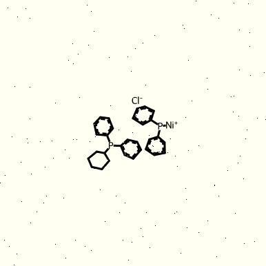 [Cl-].[Ni+][P](c1ccccc1)c1ccccc1.c1ccc(P(c2ccccc2)C2CCCCC2)cc1